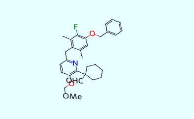 COCOc1ccc(Cc2c(C)cc(OCc3ccccc3)c(F)c2C)nc1C1(C=O)CCCCC1